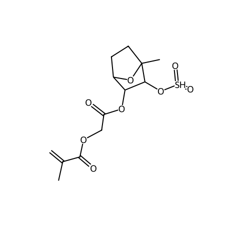 C=C(C)C(=O)OCC(=O)OC1C2CCC(C)(O2)C1O[SH](=O)=O